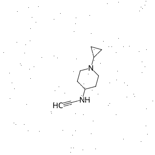 C#CNC1CCN(C2CC2)CC1